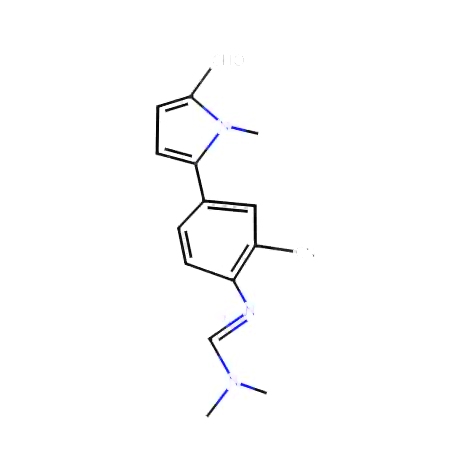 CN(C)/C=N/c1ccc(-c2ccc(C=O)n2C)cc1C#N